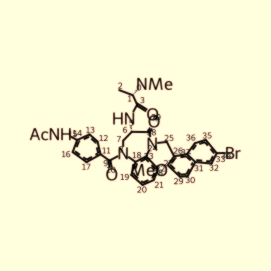 CN[C@@H](C)C(=O)N[C@H]1CN(C(=O)c2ccc(NC(C)=O)cc2)c2ccccc2N(Cc2c(OC)ccc3cc(Br)ccc23)C1=O